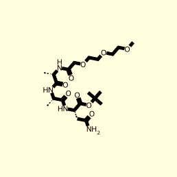 COCCOCCOCC(=O)N[C@@H](C)C(=O)N[C@@H](C)C(=O)N[C@@H](CC(N)=O)C(=O)OC(C)(C)C